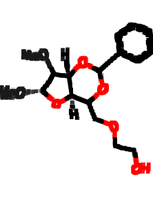 COC1[C@@H](OC)O[C@@H]2C(COCCO)OC(c3ccccc3)O[C@@H]12